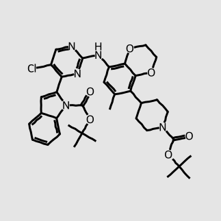 Cc1cc(Nc2ncc(Cl)c(-c3cc4ccccc4n3C(=O)OC(C)(C)C)n2)c2c(c1C1CCN(C(=O)OC(C)(C)C)CC1)OCCO2